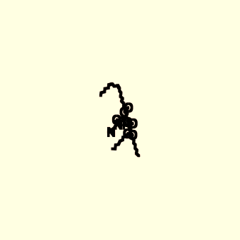 CCCCC/C=C\C/C=C\CCCCCCCC(=O)OCC(COC(=O)CCC(OCCCCCCCC)OCCCCCCCC)COC(=O)NCCCN(C)C